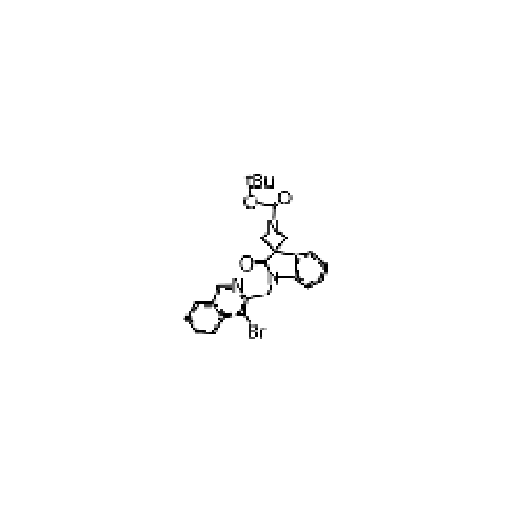 CC(C)(C)OC(=O)N1CC2(C1)C(=O)N(Cc1ncc3ccccc3c1Br)c1ccccc12